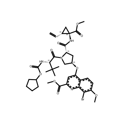 C=C[C@@H]1C[C@]1(NC(=O)[C@@H]1C[C@@H](Oc2cc(C(=O)OC)nc3c(Br)c(OC)ccc23)CN1C(=O)[C@@H](NC(=O)OC1CCCC1)C(C)(C)C)C(=O)OC